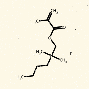 C=C(C)C(=O)OC[N+](C)(C)CCCC.[I-]